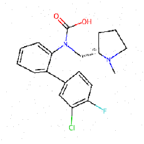 CN1CCC[C@H]1CN(C(=O)O)c1ccccc1-c1ccc(F)c(Cl)c1